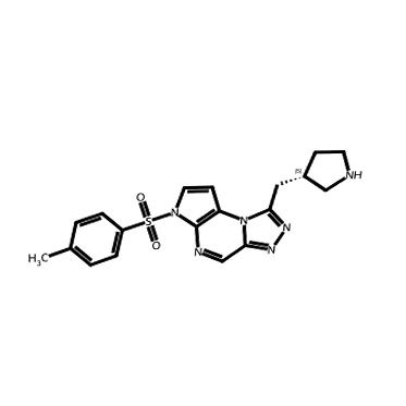 Cc1ccc(S(=O)(=O)n2ccc3c2ncc2nnc(C[C@@H]4CCNC4)n23)cc1